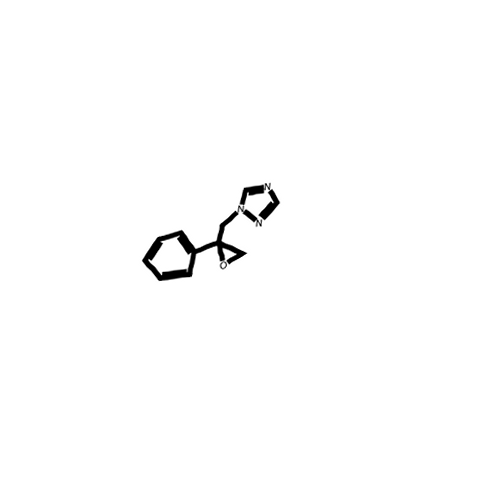 c1ccc(C2(Cn3cncn3)CO2)cc1